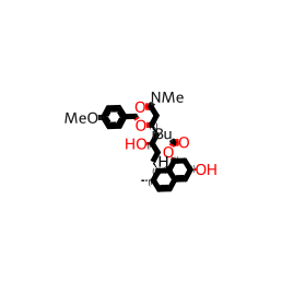 CCC(C)C(=O)O[C@H]1C[C@H](O)C=C2C=C[C@H](C)[C@H](CC[C@@H](O)C[C@H](CC(=O)NC)OCc3ccc(OC)cc3)[C@H]21